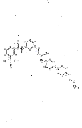 COCCN1CCN(c2ccc(NC(=O)/C=C/c3cccc(NC(=O)c4cccc(C(F)(F)F)c4)c3)nc2)CC1